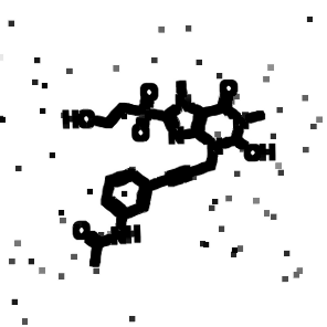 CC(=O)Nc1cccc(C#CCN2c3nc(S(=O)(=O)CCO)n(C)c3C(=O)N(C)C2O)c1